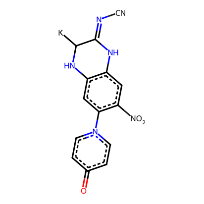 N#CN=C1Nc2cc([N+](=O)[O-])c(-n3ccc(=O)cc3)cc2N[CH]1[K]